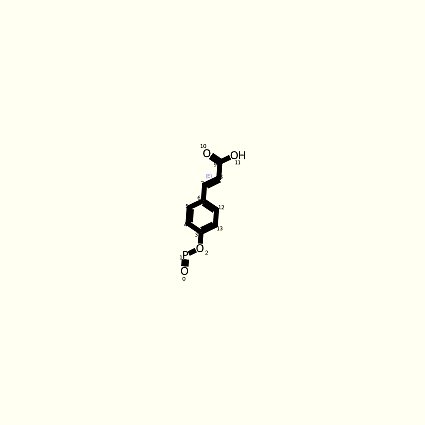 O=POc1ccc(/C=C/C(=O)O)cc1